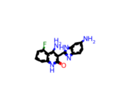 Nc1ccc2nc(-c3c(N)c4c(F)cccc4[nH]c3=O)[nH]c2c1